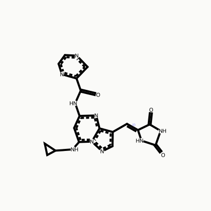 O=C1NC(=O)/C(=C/c2cnn3c(NC4CC4)cc(NC(=O)c4cnccn4)nc23)N1